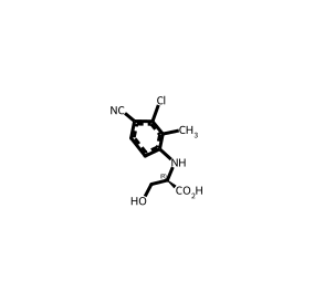 Cc1c(N[C@H](CO)C(=O)O)ccc(C#N)c1Cl